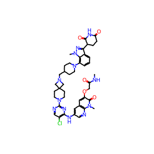 CNC(=O)COc1cc2cc(Nc3nc(N4CCC5(CC4)CN(CC4CCN(c6cccc7c(C8CCC(=O)NC8=O)nn(C)c67)CC4)C5)ncc3Cl)cnc2n(C)c1=O